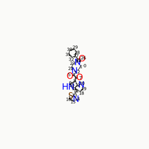 C[C@@H]1CN(C(=O)C(=O)c2c[nH]c3c(-c4nccs4)ccnc23)CCN1C(=O)c1ccccc1